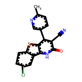 Cc1ccc(-c2c(C#N)c(=O)[nH]c3c2sc2ccc(Cl)cc23)cn1